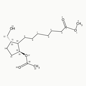 COC(=O)CCCCCCC1[C@@H](CO)CC[C@@H]1OC(C)=O